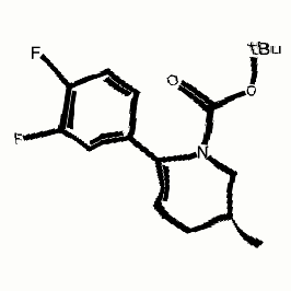 C[C@H]1CC=C(c2ccc(F)c(F)c2)N(C(=O)OC(C)(C)C)C1